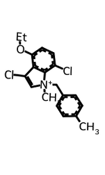 [CH2]COc1ccc(Cl)c2c1C(Cl)=C[N+]2(C)Cc1ccc(C)cc1